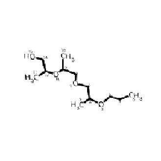 CCCOC(C)COCC(C)OC(C)CO